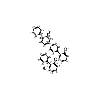 [Al+3].[O-]c1ccccc1-c1ccccc1.[O-]c1ccccc1-c1ccccc1.[O-]c1ccccc1-c1ccccc1